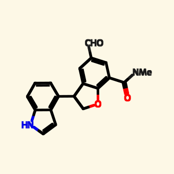 CNC(=O)c1cc(C=O)cc2c1OCC2c1cccc2[nH]ccc12